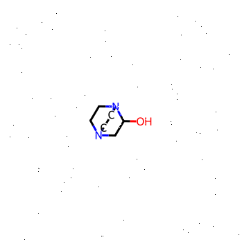 OC1CN2CCN1CC2